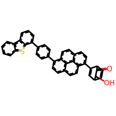 O=C1C2C=CC(C=C2c2ccc3ccc4c(-c5ccc(-c6cccc7c6sc6ccccc67)cc5)ccc5ccc2c3c54)C1O